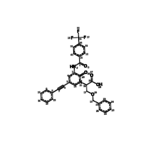 O=C(Nc1cc(C#Cc2ccccc2)cn(C(COCc2ccccc2)C(=O)O)c1=O)c1ccc(C(F)(F)F)cc1